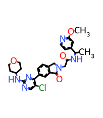 COc1cc(C(C)NC(=O)CN2Cc3ccc(-c4nc(NC5CCOCC5)ncc4Cl)cc3C2=O)ccn1